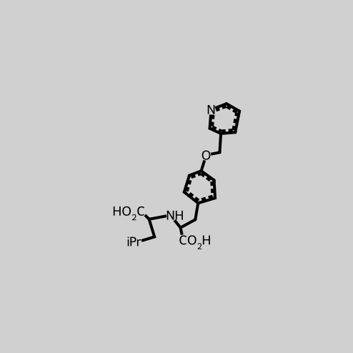 CC(C)CC(NC(Cc1ccc(OCc2cccnc2)cc1)C(=O)O)C(=O)O